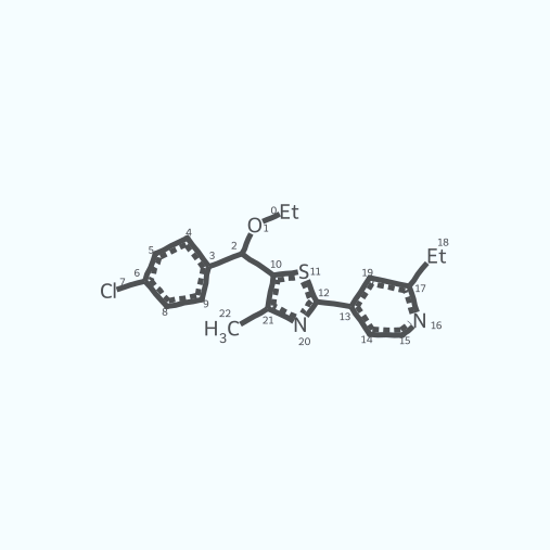 CCOC(c1ccc(Cl)cc1)c1sc(-c2ccnc(CC)c2)nc1C